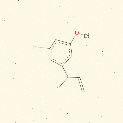 [CH2]C(C=C)c1cc(F)cc(OCC)c1